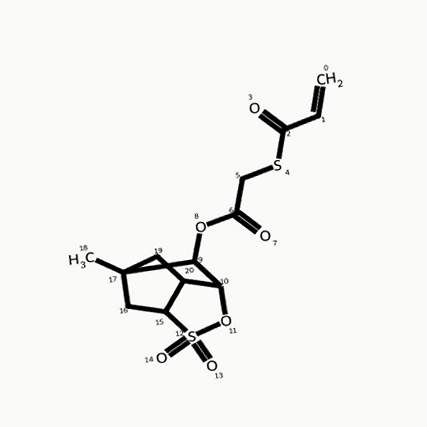 C=CC(=O)SCC(=O)OC1C2OS(=O)(=O)C3CC1(C)CC23